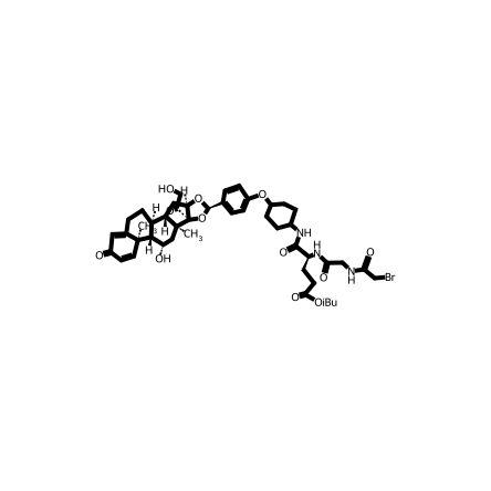 CC(C)COC(=O)CC[C@H](NC(=O)CNC(=O)CBr)C(=O)NC1CCC(Oc2ccc([C@@H]3O[C@@H]4C[C@H]5[C@@H]6CCC7=CC(=O)C=C[C@]7(C)[C@H]6[C@@H](O)C[C@]5(C)[C@]4(C(=O)CO)O3)cc2)CC1